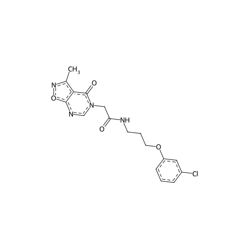 Cc1noc2ncn(CC(=O)NCCCOc3cccc(Cl)c3)c(=O)c12